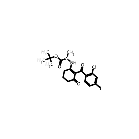 CN(NC1=C(C(=O)c2ccc(I)cc2Cl)C(=O)CCC1)C(=O)OC(C)(C)C